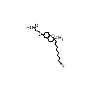 CC1(C=CCCCCCCC#N)CCc2cc(OCCC(=O)O)ccc2O1